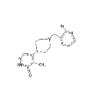 CCc1ncccc1CN1CCN(c2cn[nH]c(=O)c2C)CC1